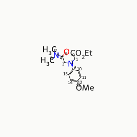 CCOC(=O)CN(CC(=O)N(C)C)c1ccc(OC)cc1